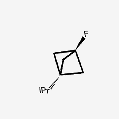 CC(C)[C@]12C[C@@](F)(C1)C2